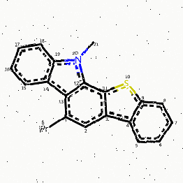 CC(C)c1cc2c3ccccc3sc2c2c1c1ccccc1n2C